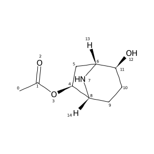 CC(=O)O[C@H]1C[C@H]2N[C@@H]1CC[C@@H]2O